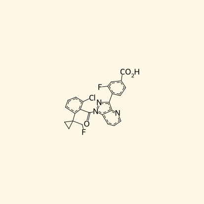 O=C(O)c1ccc(-c2nn(C(=O)c3c(Cl)cccc3C3(CF)CC3)c3cccnc23)c(F)c1